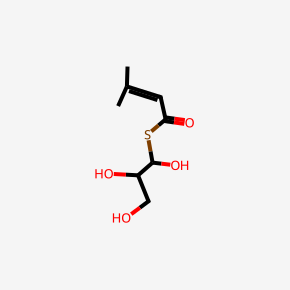 CC(C)=CC(=O)SC(O)C(O)CO